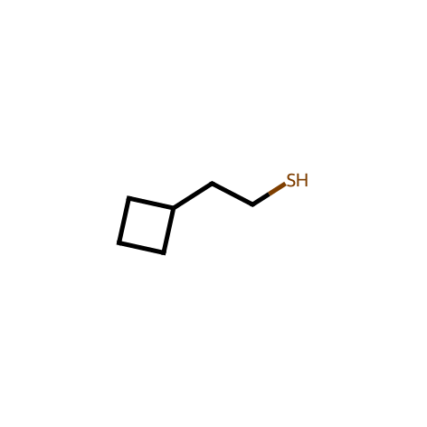 SCCC1CCC1